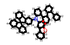 c1ccc(-c2ccccc2-c2ccccc2-c2ccccc2N(c2ccc3c(c2)-c2ccccc2C32c3ccccc3-c3ccccc32)c2ccc3oc4ccccc4c3c2)cc1